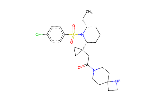 CC[C@@H]1CCC[C@H](C2(CC(=O)N3CCC4(CCN4)CC3)CC2)N1S(=O)(=O)c1ccc(Cl)cc1